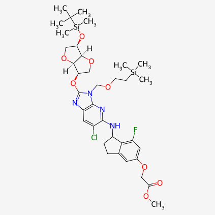 COC(=O)COc1cc(F)c2c(c1)CCC2Nc1nc2c(cc1Cl)nc(O[C@@H]1CO[C@H]3[C@@H]1OC[C@H]3O[Si](C)(C)C(C)(C)C)n2COCC[Si](C)(C)C